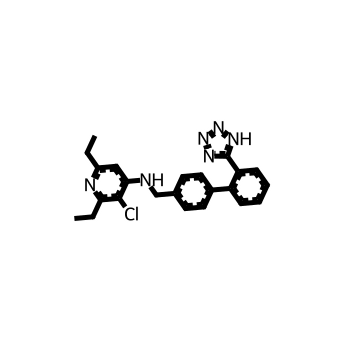 CCc1cc(NCc2ccc(-c3ccccc3-c3nnn[nH]3)cc2)c(Cl)c(CC)n1